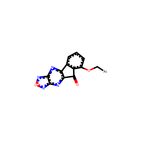 CC(=O)COc1cccc2c1C(=O)c1nc3nonc3nc1-2